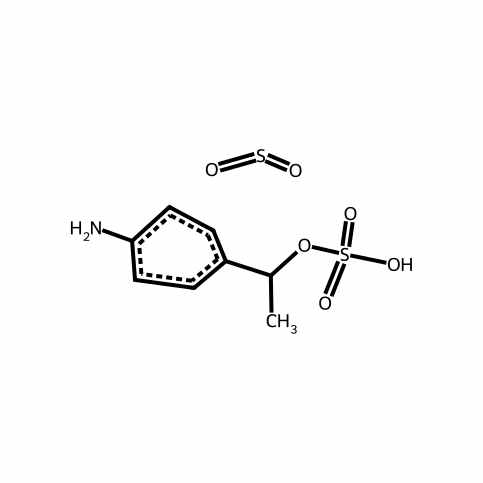 CC(OS(=O)(=O)O)c1ccc(N)cc1.O=S=O